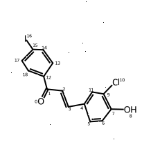 O=C(C=Cc1ccc(O)c(Cl)c1)c1ccc(I)cc1